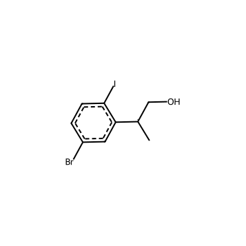 C[C](CO)c1cc(Br)ccc1I